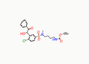 CN(CCCCNC(=O)OC(C)(C)C)S(=O)(=O)c1ccc(Cl)c(C(O)C(=O)c2ccccc2)c1